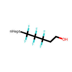 CCCCCCCC(F)(F)C(F)(F)C(F)(F)CCO